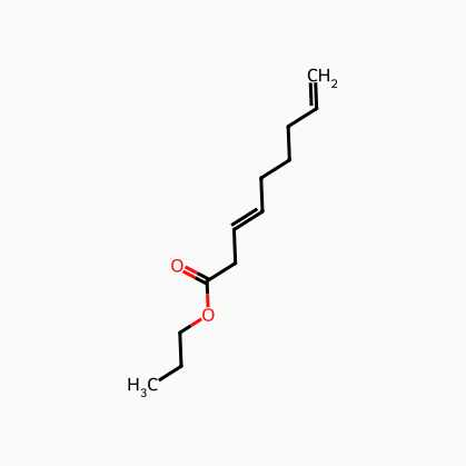 C=CCCC/C=C/CC(=O)OCCC